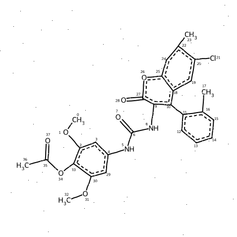 COc1cc(NC(=O)Nc2c(-c3ccccc3C)c3cc(Cl)c(C)cc3oc2=O)cc(OC)c1OC(C)=O